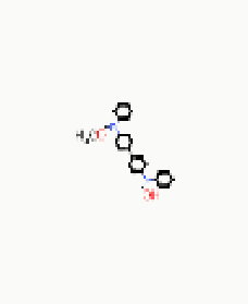 COCN(c1ccccc1)c1ccc(-c2ccc(N(CO)c3ccccc3)cc2)cc1